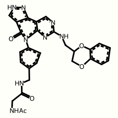 CC(=O)NCC(=O)NCc1ccc(-n2c(=O)c3c[nH]nc3c3cnc(NCC4COc5ccccc5O4)nc32)cc1